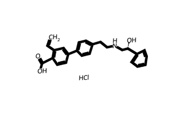 C=Cc1cc(-c2ccc(CCNC[C@H](O)c3ccccc3)cc2)ccc1C(=O)O.Cl